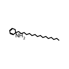 CCCCCCCCCCCCCCCCC1(N)C=CC=CC1